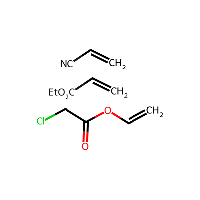 C=CC#N.C=CC(=O)OCC.C=COC(=O)CCl